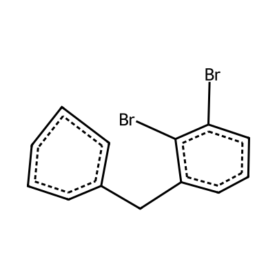 Brc1cccc(Cc2ccccc2)c1Br